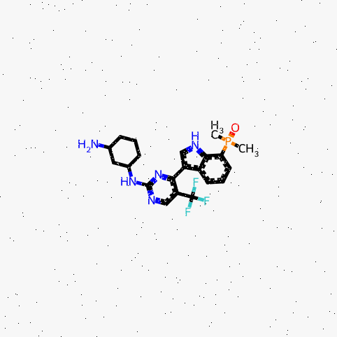 CP(C)(=O)c1cccc2c(-c3nc(NC4CCCC(N)C4)ncc3C(F)(F)F)c[nH]c12